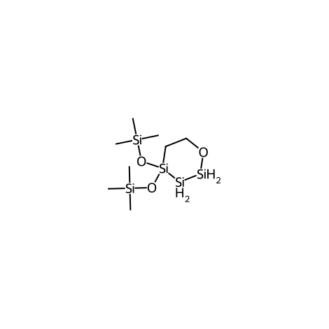 C[Si](C)(C)O[Si]1(O[Si](C)(C)C)CCO[SiH2][SiH2]1